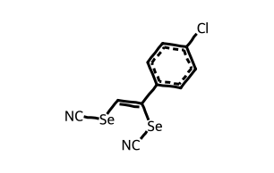 N#C[Se]C=C([Se]C#N)c1ccc(Cl)cc1